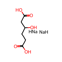 O=C(O)CCC(O)CC(=O)O.[NaH].[NaH]